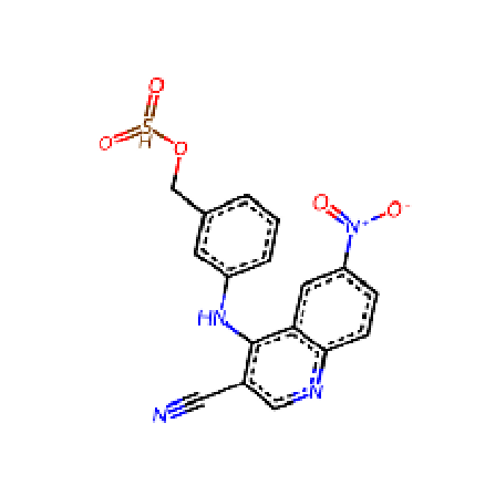 N#Cc1cnc2ccc([N+](=O)[O-])cc2c1Nc1cccc(CO[SH](=O)=O)c1